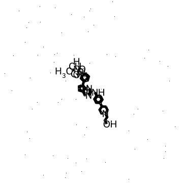 CC(C)(C)NS(=O)(=O)c1cccc(-c2ccc3cnc(Nc4ccc(C5CCN(CCO)CC5)cc4)nn23)c1